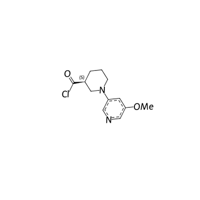 COc1cncc(N2CCC[C@H](C(=O)Cl)C2)c1